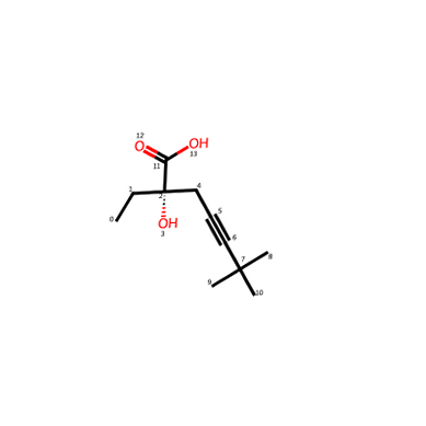 CC[C@](O)(CC#CC(C)(C)C)C(=O)O